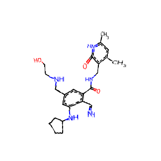 Cc1cc(C)c(CNC(=O)c2cc(CNCCO)cc(NC3CCCC3)c2C=N)c(=O)[nH]1